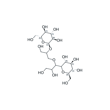 OCC(COC(C(O)CO)C1O[C@H](CO)[C@@H](O)[C@H](O)[C@H]1O)O[C@H]1O[C@H](CO)[C@@H](O)[C@H](O)[C@H]1O